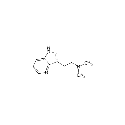 CN(C)CCc1c[nH]c2cccnc12